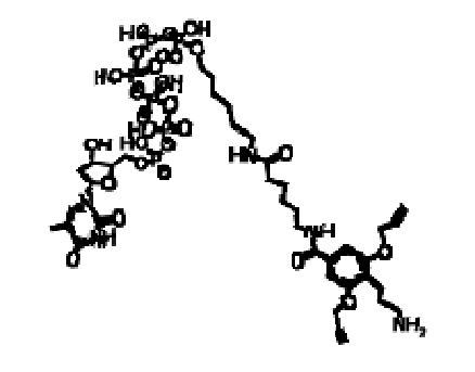 C#CCOc1cc(C(=O)NCCCCCC(=O)NCCCCCCOP(=O)(O)OP(=O)(O)OP(=O)(O)OP(=O)(O)OP(=O)(O)OP(=O)(O)OC[C@H]2O[C@@H](n3cc(C)c(=O)[nH]c3=O)C[C@H]2O)cc(OCC#C)c1CCCN